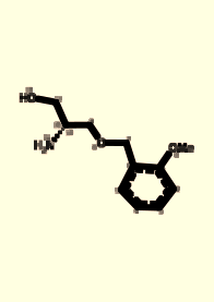 COc1ccccc1COC[C@H](N)CO